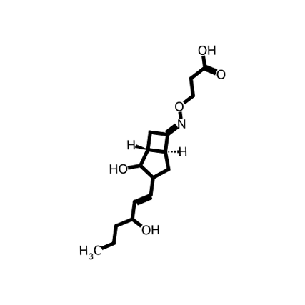 CCCC(O)C=CC1C[C@@H]2C(=NOCCC(=O)O)C[C@H]2C1O